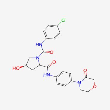 O=C(Nc1ccc(N2CCOCC2=O)cc1)C1C[C@@H](O)CN1C(=O)Nc1ccc(Cl)cc1